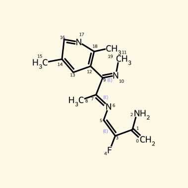 C=C(N)\C(F)=C/N=C(C)/C(=N/C)c1cc(C)cnc1C